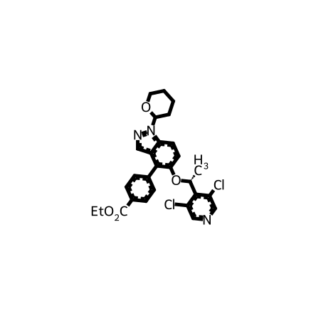 CCOC(=O)c1ccc(-c2c(O[C@H](C)c3c(Cl)cncc3Cl)ccc3c2cnn3C2CCCCO2)cc1